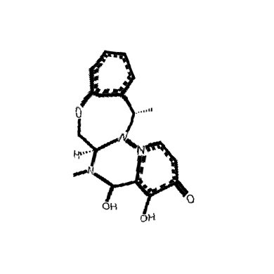 C[C@H]1c2ccccc2OC[C@@H]2N(C)C(O)c3c(O)c(=O)ccn3N21